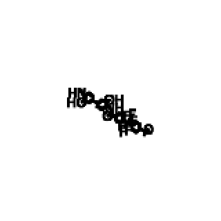 CNc1ccc(-c2ccc(NC(=O)c3ccc(C(c4ccc(C(C)=O)cc4)(C(F)(F)F)C(F)(F)F)cc3)c(O)c2)cc1O